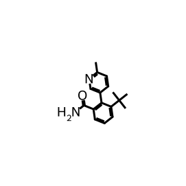 Cc1ccc(-c2c(C(N)=O)cccc2C(C)(C)C)cn1